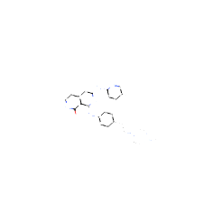 CC(=O)N1CCN(CCc2ccc(Nc3nc(Nc4ccc(C)cn4)cc4cc[nH]c(=O)c34)cc2)CC1